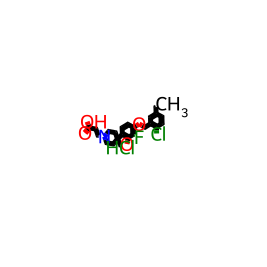 CCc1ccc(Cl)c(COc2ccc3c(c2F)OCC32CCN(CCC(=O)O)CC2)c1.Cl